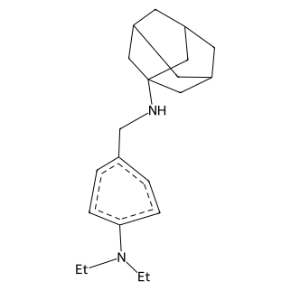 CCN(CC)c1ccc(CNC23CC4CC(CC(C4)C2)C3)cc1